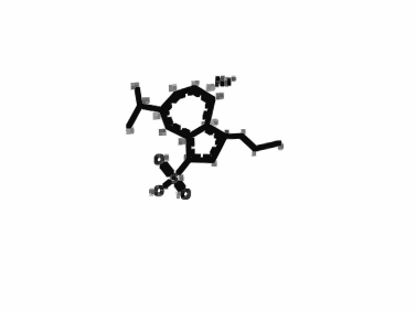 CCCc1cc(S(=O)(=O)[O-])c2cc(C(C)C)cccc1-2.[Na+]